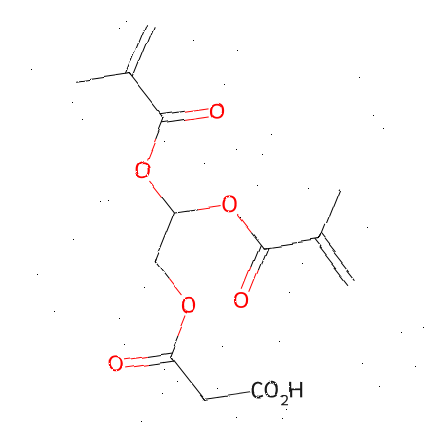 C=C(C)C(=O)OC(COC(=O)CC(=O)O)OC(=O)C(=C)C